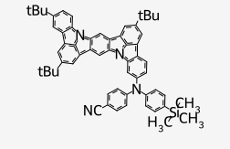 CC(C)(C)c1ccc2c(c1)c1cc(C(C)(C)C)cc3c4cc5c(cc4n2c13)c1cc(C(C)(C)C)cc2c3ccc(N(c4ccc(C#N)cc4)c4ccc([Si](C)(C)C)cc4)cc3n5c21